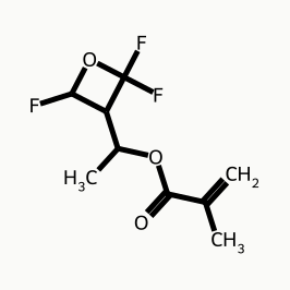 C=C(C)C(=O)OC(C)C1C(F)OC1(F)F